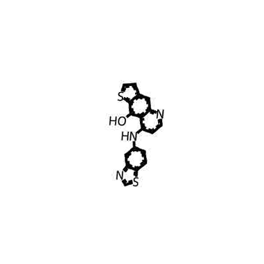 Oc1c2sccc2cc2nccc(Nc3ccc4scnc4c3)c12